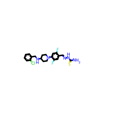 NC(=S)NN=Cc1cc(F)c(N2CCC(NCc3ccccc3Cl)CC2)cc1F